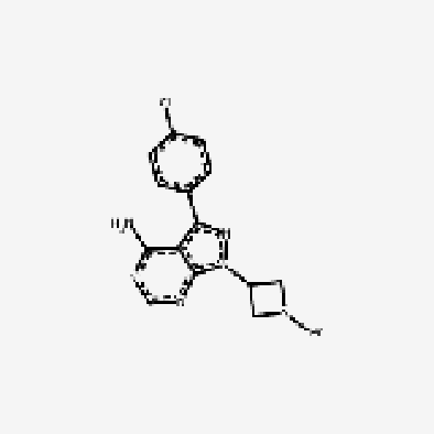 CC(C)N1CC(n2nc(-c3ccc(Cl)cc3)c3c(N)ncnc32)C1